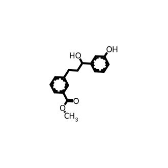 COC(=O)c1cccc(CCC(O)c2cccc(O)c2)c1